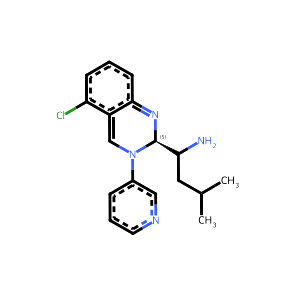 CC(C)CC(N)[C@@H]1N=c2cccc(Cl)c2=CN1c1cccnc1